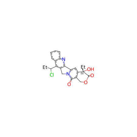 CCC(Cl)c1c2c(nc3ccccc13)-c1cc3c(c(=O)n1C2)COC(=O)[C@]3(O)CC